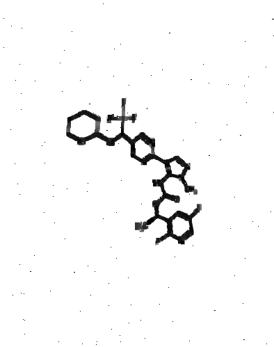 C[C@@H](OC(=O)Nc1c(-c2ncc(C(OC3CCCCO3)C(F)(F)F)cn2)cnn1C)c1cc(F)cnc1F